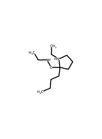 CCCCC1(ONCC)CCC[SiH]1CC